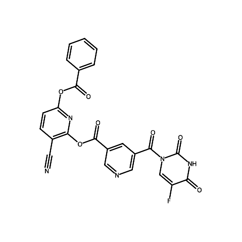 N#Cc1ccc(OC(=O)c2ccccc2)nc1OC(=O)c1cncc(C(=O)n2cc(F)c(=O)[nH]c2=O)c1